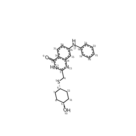 O=c1[nH]c(CS[C@H]2CC[C@H](O)CC2)nc2cc(Nc3ccccc3)ccc12